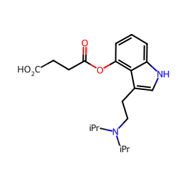 CC(C)N(CCc1c[nH]c2cccc(OC(=O)CCC(=O)O)c12)C(C)C